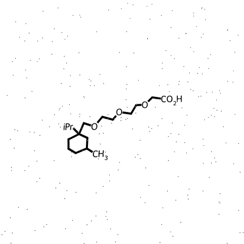 CC1CCCC(COCCOCCOCC(=O)O)(C(C)C)C1